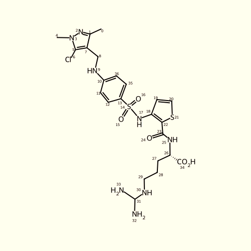 Cc1nn(C)c(Cl)c1CNc1ccc(S(=O)(=O)Nc2ccsc2C(=O)N[C@@H](CCCNC(N)N)C(=O)O)cc1